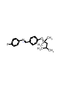 CC(C)C[Si](C)(C)Oc1ccc(/C=N/c2ccc(F)cc2)cc1